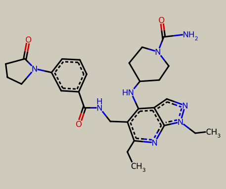 CCc1nc2c(cnn2CC)c(NC2CCN(C(N)=O)CC2)c1CNC(=O)c1cccc(N2CCCC2=O)c1